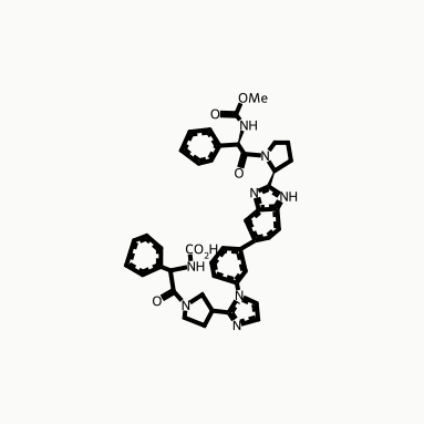 COC(=O)N[C@@H](C(=O)N1CCC[C@H]1c1nc2cc(-c3cccc(-n4ccnc4C4CCN(C(=O)C(NC(=O)O)c5ccccc5)C4)c3)ccc2[nH]1)c1ccccc1